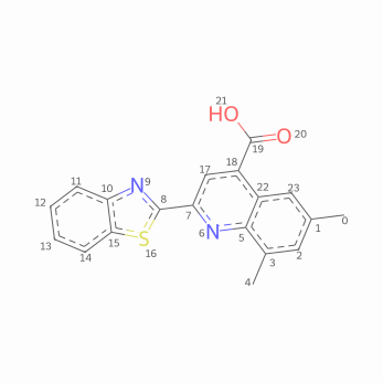 Cc1cc(C)c2nc(-c3nc4ccccc4s3)cc(C(=O)O)c2c1